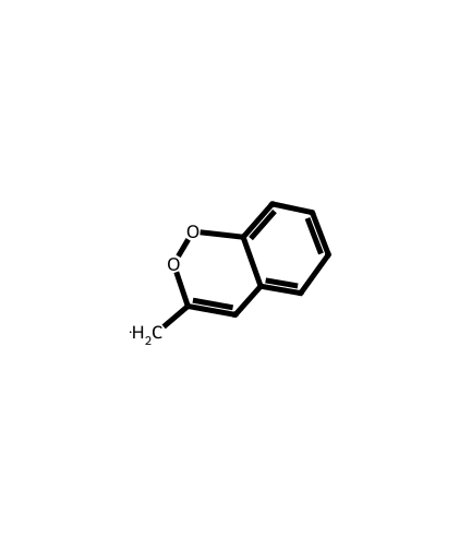 [CH2]C1=Cc2ccccc2OO1